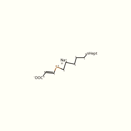 CCCCCCCCCCCCSC=CC(=O)[O-].[Na+]